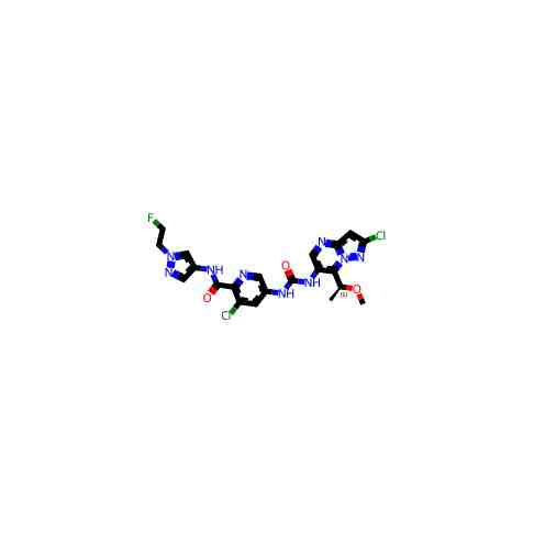 CO[C@@H](C)c1c(NC(=O)Nc2cnc(C(=O)Nc3cnn(CCF)c3)c(Cl)c2)cnc2cc(Cl)nn12